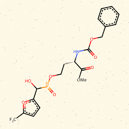 COC(=O)[C@H](CCO[PH](=O)C(O)c1ccc(C(F)(F)F)o1)NC(=O)OCc1ccccc1